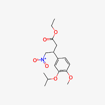 CCOC(=O)CC(C[N+](=O)[O-])c1ccc(OC)c(OC(C)C)c1